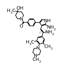 Cc1cc(/C(N)=C/c2c(-c3ccc(C(=O)N4CCC(C)(O)CC4)cc3)c[nH]c2N)cc(C)c1N1CCN(C)CC1